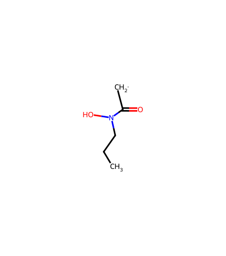 [CH2]C(=O)N(O)CCC